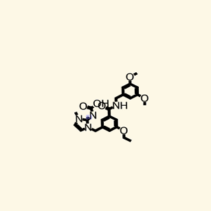 CCOc1cc(Cn2ccn(C)/c2=N\C(=O)O)cc(C(=O)NCc2cc(OC)cc(OC)c2)c1